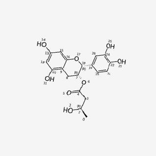 C[C@@H](O)CC(=O)O[C@@H]1Cc2c(O)cc(O)cc2O[C@@H]1c1ccc(O)c(O)c1